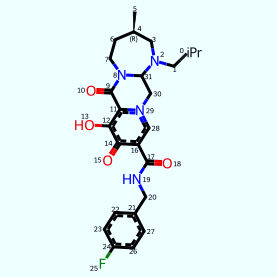 CC(C)CN1C[C@H](C)CCN2C(=O)c3c(O)c(=O)c(C(=O)NCc4ccc(F)cc4)cn3CC12